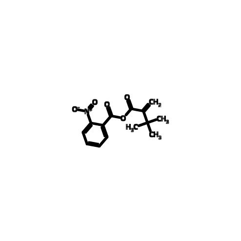 C=C(C(=O)OC(=O)c1ccccc1[N+](=O)[O-])C(C)(C)C